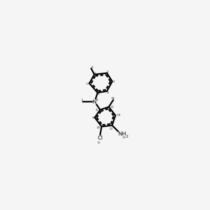 Cc1cccc(N(C)c2cc(Cl)c(N)cc2C)c1